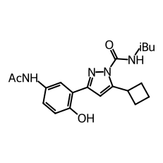 CCC(C)NC(=O)n1nc(-c2cc(NC(C)=O)ccc2O)cc1C1CCC1